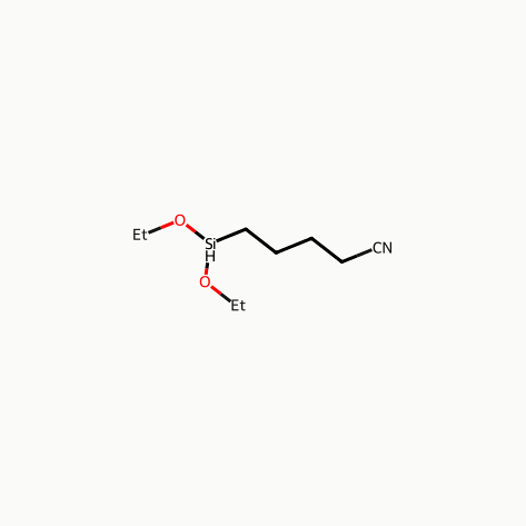 CCO[SiH](CCCCC#N)OCC